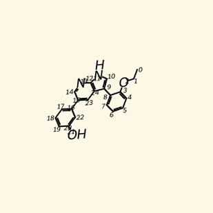 CCOc1ccccc1-c1c[nH]c2ncc(-c3cccc(O)c3)cc12